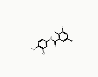 Cc1ccc(NC(=S)c2cc(F)nc(F)c2F)cc1Cl